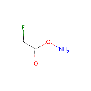 NOC(=O)CF